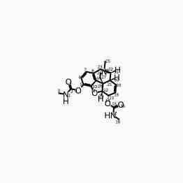 CNC(=O)Oc1ccc2c3c1O[C@H]1[C@@H](OC(=O)NC)C=C[C@H]4[C@@H](C2)N(C)CC[C@@]341